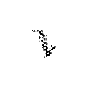 COc1cc(C(=O)NNC(=O)NCc2ncc(-c3cc(Cl)cc(F)c3OCC(F)F)cc2F)on1